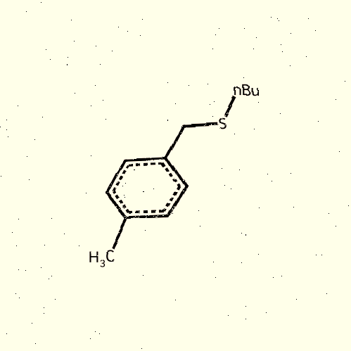 [CH2]CCCSCc1ccc(C)cc1